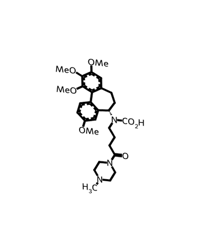 COc1ccc2c(c1)[C@@H](N(CCCC(=O)N1CCN(C)CC1)C(=O)O)CCc1cc(OC)c(OC)c(OC)c1-2